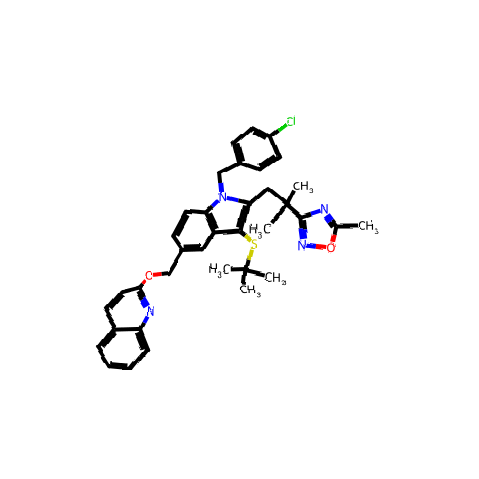 Cc1nc(C(C)(C)Cc2c(SC(C)(C)C)c3cc(COc4ccc5ccccc5n4)ccc3n2Cc2ccc(Cl)cc2)no1